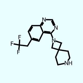 FC(F)(F)Cc1ccc2ncnc(N3CC4(CCNCC4)C3)c2c1